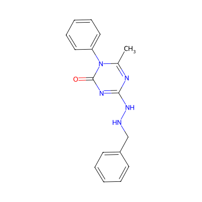 Cc1nc(NNCc2ccccc2)nc(=O)n1-c1ccccc1